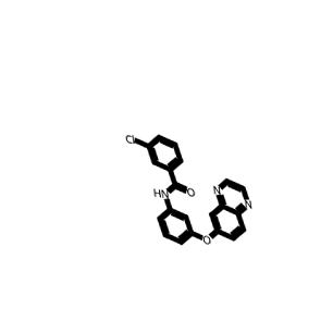 O=C(Nc1cccc(Oc2ccc3nccnc3c2)c1)c1cccc(Cl)c1